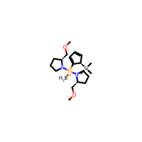 B[PH](C1=CC=C[C@H]1[Si](C)(C)C)(N1CCC[C@H]1COC)N1CCC[C@H]1COC